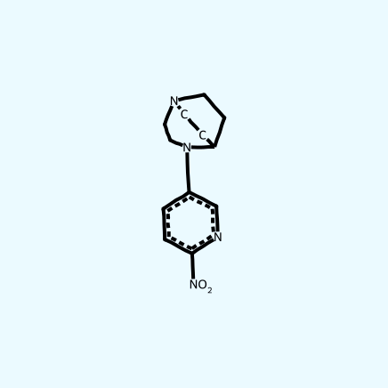 O=[N+]([O-])c1ccc(N2CCN3CCC2CC3)cn1